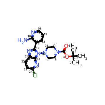 CC(C)(C)OC(=O)N1CCN(n2c(-c3cccnc3N)nc3ccc(Cl)nc32)CC1